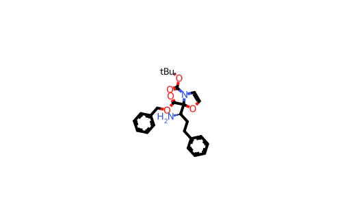 CC(C)(C)OC(=O)N1C=COC1(C(=O)OCc1ccccc1)[C@H](N)CCc1ccccc1